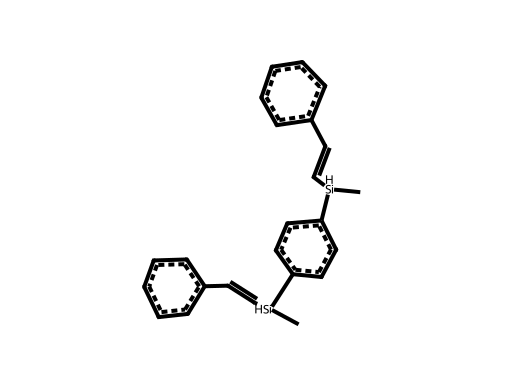 C[SiH](C=Cc1ccccc1)c1ccc([SiH](C)C=Cc2ccccc2)cc1